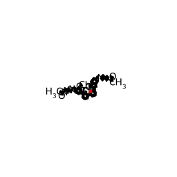 COc1nc(-c2cccc(-c3cccc(N4Cc5cc(CN6CC7(C6)CN(C(C)=O)C7)ccc5C4=O)c3Cl)c2Cl)ccc1CN1CC2(C1)CN(C(C)=O)C2